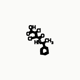 CC(NC(=O)C(Cl)=C(Cl)C(=O)O)c1ccccc1